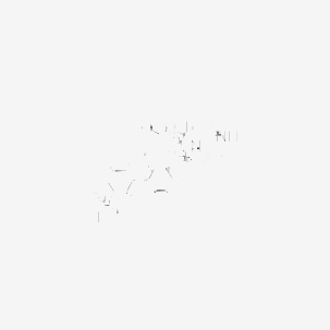 O=C(O)C1Cc2c(-c3cccc(C(F)(F)F)c3)cccc2C1S(=O)(=O)N1CCNCC1